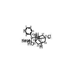 [N-]=[N+]=N[C@@H](c1cccnc1)[C@H]1[C@H]2C[C@@H]3C[C@](Cl)(C2)C[C@@]1(O)C3